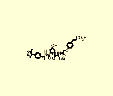 Cc1ncsc1-c1ccc([C@H](C)NC(=O)[C@@H]2C[C@@H](O)CN2C(=O)C(NC(=O)COc2ccc(CCC(=O)O)cc2)C(C)(C)C)cc1